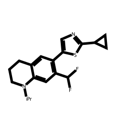 CC(C)N1CCCc2cc(-c3cnc(C4CC4)s3)c(C(F)F)cc21